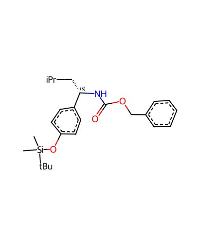 CC(C)C[C@H](NC(=O)OCc1ccccc1)c1ccc(O[Si](C)(C)C(C)(C)C)cc1